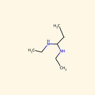 C[CH]C(NCC)NCC